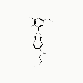 CCCCCCCCCCCC[S+]([O-])c1ccc2nn(-c3cc(OCCCC)cc(C(C)(C)C)c3O)nc2c1